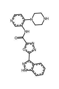 O=C(Nc1cnccc1N1CCNCC1)c1nnc(-c2n[nH]c3ccccc23)o1